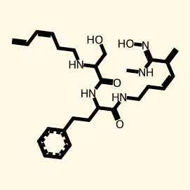 C=C/C=C\CCNC(CO)C(=O)NC(CCc1ccccc1)C(=O)NCC/C=C\C(=C)/C(=N/O)NC